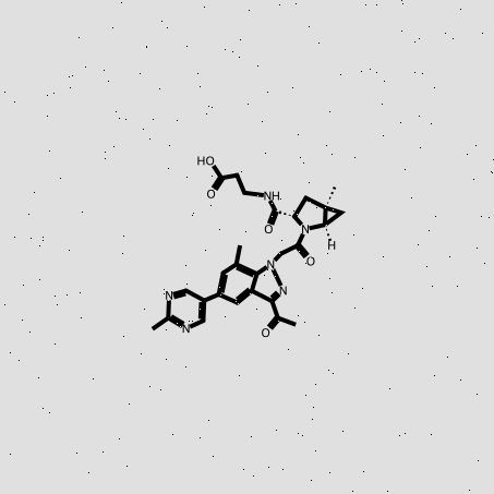 CC(=O)c1nn(CC(=O)N2[C@H](C(=O)NCCC(=O)O)C[C@@]3(C)C[C@@H]23)c2c(C)cc(-c3cnc(C)nc3)cc12